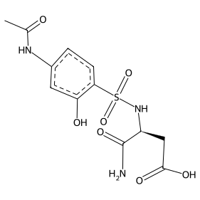 CC(=O)Nc1ccc(S(=O)(=O)N[C@@H](CC(=O)O)C(N)=O)c(O)c1